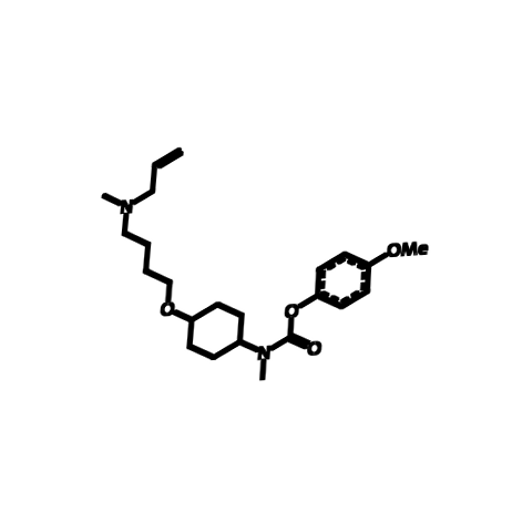 C=CCN(C)CCCCOC1CCC(N(C)C(=O)Oc2ccc(OC)cc2)CC1